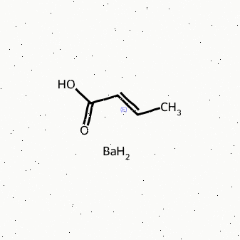 C/C=C/C(=O)O.[BaH2]